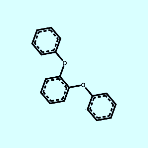 [c]1ccccc1Oc1ccccc1Oc1[c]cccc1